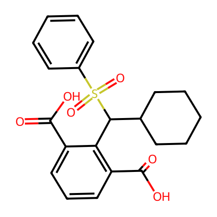 O=C(O)c1cccc(C(=O)O)c1C(C1CCCCC1)S(=O)(=O)c1ccccc1